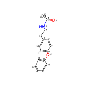 CCC(C)C(=O)NCCc1ccc(Oc2ccccc2)cc1